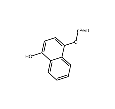 CCCCCOc1ccc(O)c2ccccc12